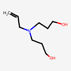 C=CCN(CCCO)CCCO